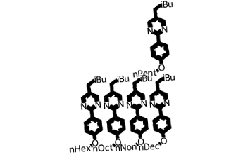 CCCCCCCCCCOc1ccc(-c2ncc(CC(C)CC)cn2)cc1.CCCCCCCCCOc1ccc(-c2ncc(CC(C)CC)cn2)cc1.CCCCCCCCOc1ccc(-c2ncc(CC(C)CC)cn2)cc1.CCCCCCOc1ccc(-c2ncc(CC(C)CC)cn2)cc1.CCCCCOc1ccc(-c2ncc(CC(C)CC)cn2)cc1